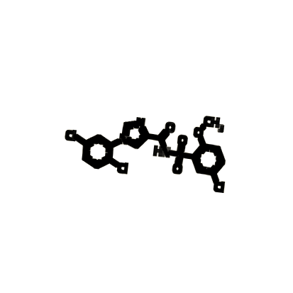 COc1ccc(Cl)cc1S(=O)(=O)NC(=O)c1cn(-c2cc(Cl)ccc2Cl)cn1